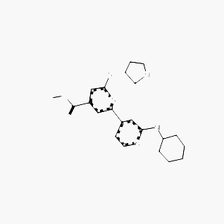 COC(=O)c1cc(N[C@@H]2CCNC2)nc(-c2ccnc(NC3CCCCC3)c2)c1